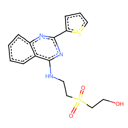 O=S(=O)(CCO)CCNc1nc(-c2cccs2)nc2ccccc12